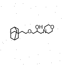 OC(COCCC12CC3CC(CC(C3)C1)C2)CN1CCOCC1